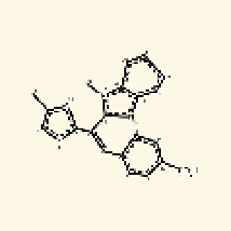 Cc1csc(/C(=C/c2ccc(C(=O)O)cc2)c2nc3ccccc3n2C)n1